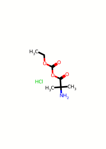 CCOC(=O)OC(=O)C(C)(C)N.Cl